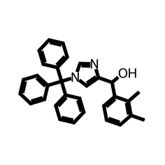 Cc1cccc(C(O)c2cn(C(c3ccccc3)(c3ccccc3)c3ccccc3)cn2)c1C